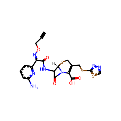 C#CCO/N=C(\C(=O)NC1C(=O)N2C(C(=O)O)=C(CSc3nncs3)CS[C@H]12)c1cccc(N)n1